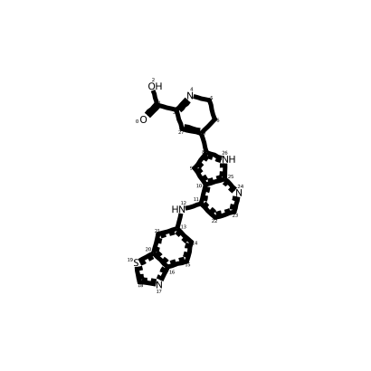 O=C(O)C1=NCCC(c2cc3c(Nc4ccc5ncsc5c4)ccnc3[nH]2)=C1